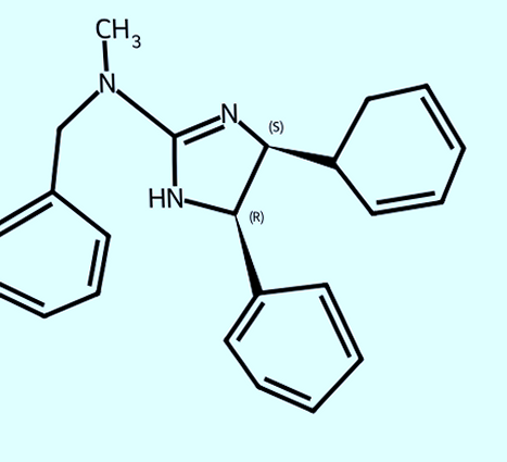 CN(Cc1ccccc1)C1=N[C@@H](C2C=CC=CC2)[C@@H](c2ccccc2)N1